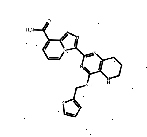 NC(=O)c1cccn2c(-c3nc4c(c(NCc5cccs5)n3)NCCC4)ncc12